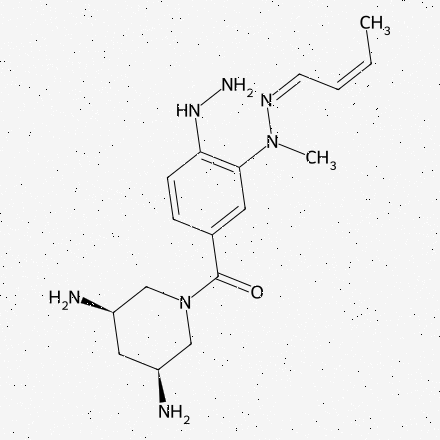 C/C=C\C=N/N(C)c1cc(C(=O)N2C[C@H](N)C[C@H](N)C2)ccc1NN